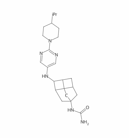 CC(C)C1CCN(c2ncc(NC3C4CC5CC6(NC(N)=O)CC3C54C6)cn2)CC1